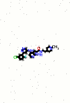 CN1CCC(CCNC(=O)c2cc3c(Nc4cnnc(-c5cc(Cl)ccc5F)c4)ccnc3[nH]2)CC1